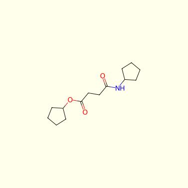 O=C(CCC(=O)OC1CCCC1)NC1CCCC1